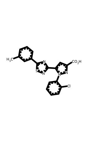 Cc1cccc(-c2nc(-c3cc(C(=O)O)nn3-c3ccccc3Cl)ns2)c1